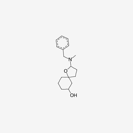 CN(Cc1ccccc1)C1CCC2(CCCC(O)C2)O1